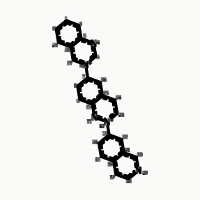 c1ccc2nc[n+](-c3ccc4n[n+](-c5ccc6ccncc6c5)ccc4c3)cc2c1